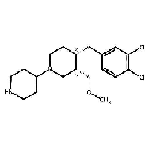 COC[C@@H]1CN(C2CCNCC2)CC[C@@H]1Cc1ccc(Cl)c(Cl)c1